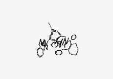 Cc1cc(CNC(=O)C2=C(C=O)CCCC2)c(O)c(-n2nc3ccccc3n2)c1